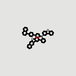 c1ccc(N(c2ccc(-c3ccc(-c4cccc5ccccc45)cc3)cc2)c2ccc3oc4ccccc4c3c2)c(-c2ccc3oc4cc5ccccc5cc4c3c2)c1